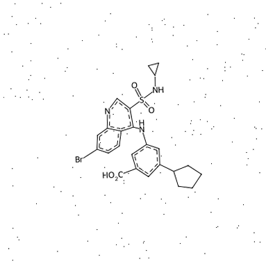 O=C(O)c1cc(Nc2c(S(=O)(=O)NC3CC3)cnc3cc(Br)ccc23)cc(C2CCCC2)c1